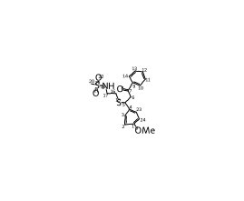 COc1ccc(C(CC(=O)c2ccccc2)SCCNS(C)(=O)=O)cc1